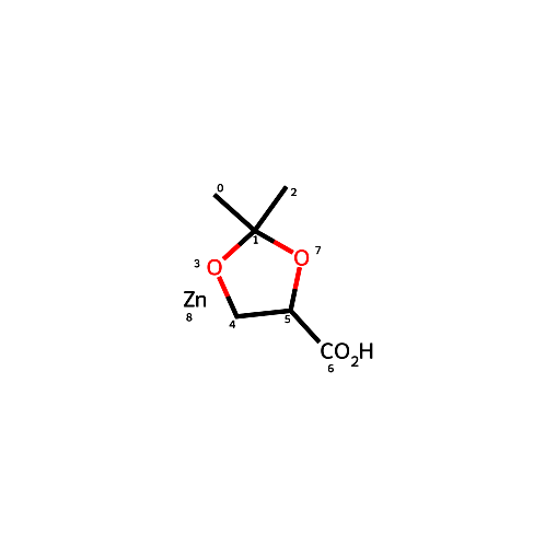 CC1(C)OCC(C(=O)O)O1.[Zn]